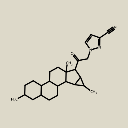 CC1CCC2C(CCC3C2CCC2(C)C(C(=O)Cn4ccc(C#N)n4)C4C(C)C4C32)C1